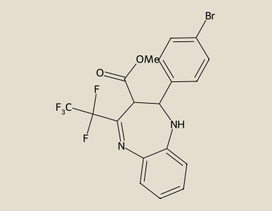 COC(=O)C1C(C(F)(F)C(F)(F)F)=Nc2ccccc2NC1c1ccc(Br)cc1